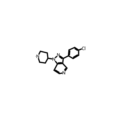 Clc1ccc(-c2nn(C3CC[N]CC3)c3ccncc23)cc1